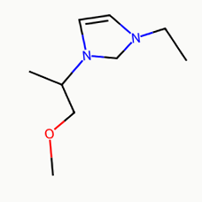 CCN1C=CN(C(C)COC)C1